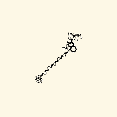 COC(=O)N(CCOCCOCCOCCOCCOCCOS(=O)(=O)O)C1CCCCc2cc(C(=O)NC(=N)N)c(C)nc21